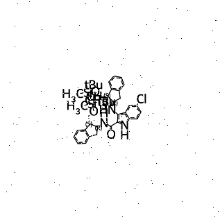 CC(C)(C)[Si](C)(C)OC[C@H]1c2ccccc2C[C@H]1NC(=O)c1[nH]c2ccc(Cl)cc2c1N[C@@H]1Cc2ccccc2[C@@H]1CO[Si](C)(C)C(C)(C)C